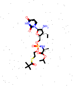 CC[C@H]1[C@@H](N)[C@H](n2ccc(=O)[nH]c2=O)O[C@@H]1COP(=O)(N[C@@H](C)C(=O)OC(C)C)OCCSC(=O)C(C)(C)C